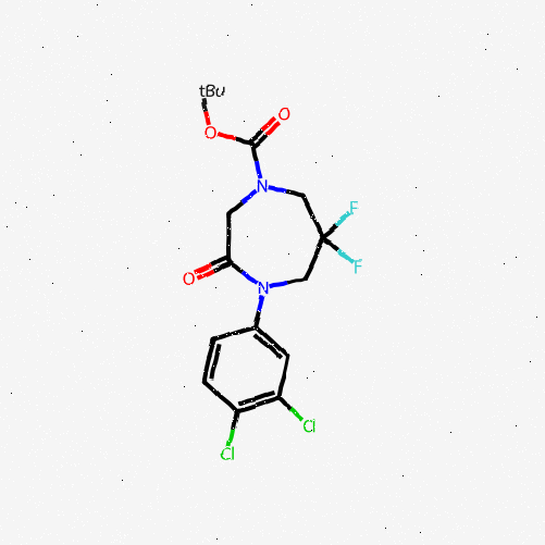 CC(C)(C)OC(=O)N1CC(=O)N(c2ccc(Cl)c(Cl)c2)CC(F)(F)C1